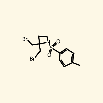 Cc1ccc(S(=O)(=O)N2CCC2(CBr)CBr)cc1